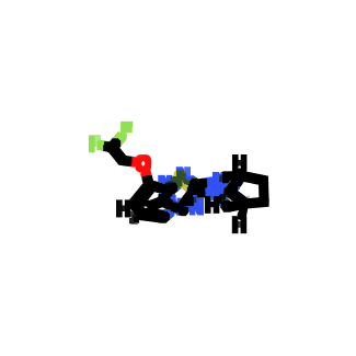 Cc1cc(N2C[C@H]3CC[C@@H](C2)[C@@H]3Nc2nc3c(OCC(F)F)cccn3n2)sn1